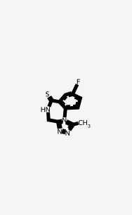 Cc1nnc2n1-c1ccc(F)cc1C(=S)NC2